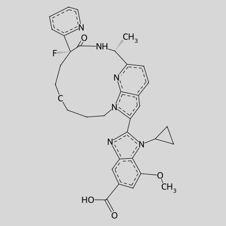 COc1cc(C(=O)O)cc2nc(-c3cc4ccc5nc4n3CCCCCC[C@@](F)(c3ccccn3)C(=O)N[C@@H]5C)n(C3CC3)c12